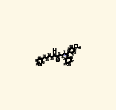 COc1ccc(/C(=C/CCC(=O)NCCCCc2cccnc2)c2ccccc2)cc1